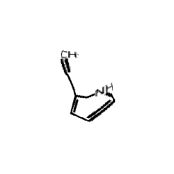 [CH]=Cc1ccc[nH]1